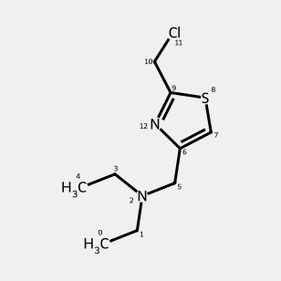 CCN(CC)Cc1csc(CCl)n1